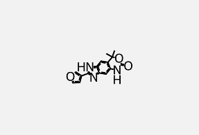 CC1(C)OC(=O)Nc2cc3nc(-c4ccoc4)[nH]c3cc21